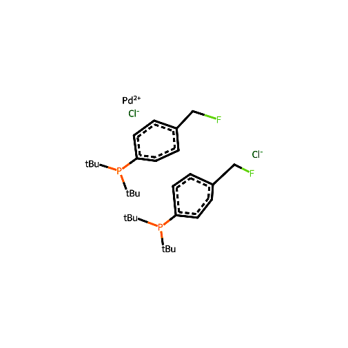 CC(C)(C)P(c1ccc(CF)cc1)C(C)(C)C.CC(C)(C)P(c1ccc(CF)cc1)C(C)(C)C.[Cl-].[Cl-].[Pd+2]